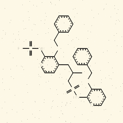 CCC(C)S(=O)(=O)Nc1nccc(CC(C)CS(=O)(=O)Nc2ncccc2OCc2ccccc2)c1OCc1ccccc1